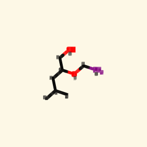 CC(C)CC(CO)OCP